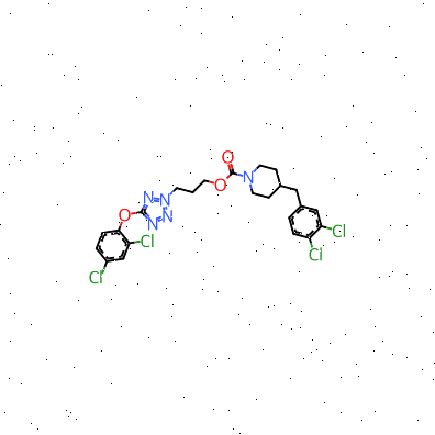 O=C(OCCCn1nnc(Oc2ccc(Cl)cc2Cl)n1)N1CCC(Cc2ccc(Cl)c(Cl)c2)CC1